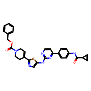 O=C(Nc1ccc(-c2ccnc(Nc3cnc(C4=CCN(C(=O)OCc5ccccc5)CC4)s3)n2)cc1)C1CC1